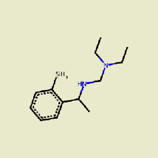 CCN(CC)CNC(C)c1ccccc1[SiH3]